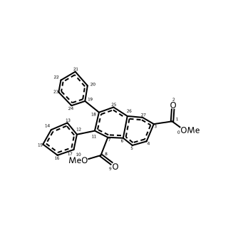 COC(=O)c1ccc2c(C(=O)OC)c(-c3ccccc3)c(-c3ccccc3)cc2c1